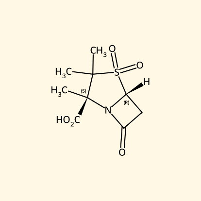 CC1(C)[C@](C)(C(=O)O)N2C(=O)C[C@H]2S1(=O)=O